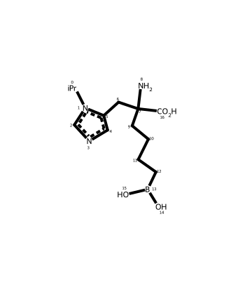 CC(C)n1cncc1CC(N)(CCCCB(O)O)C(=O)O